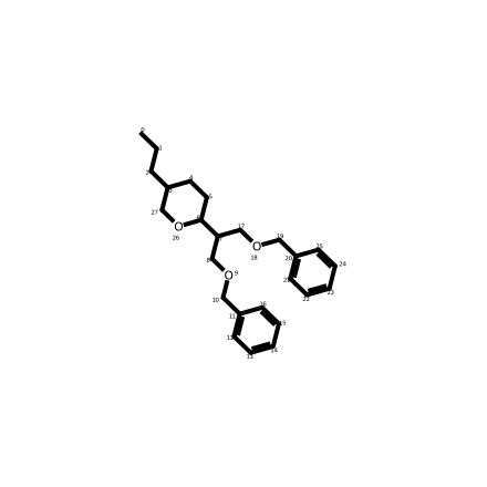 CCCC1CCC(C(COCc2ccccc2)COCc2ccccc2)OC1